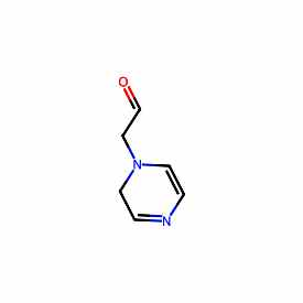 O=CCN1C=CN=CC1